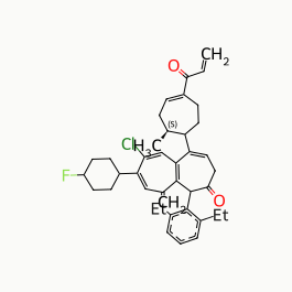 C=CC(=O)C1=CC[C@H](C)C(C2=CCC(=O)C(c3c(CC)cccc3CC)C3=C2C=C(Cl)C(C2CCC(F)CC2)=CC3=C)CC1